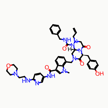 C=CCN1CC(=O)N2[C@@H](Cc3ccc(O)cc3)C(=O)N(Cc3cccc4c(C(=O)Nc5ccc(NCCN6CCOCC6)nc5)cn(C)c34)C[C@@H]2N1C(=O)NCc1ccccc1